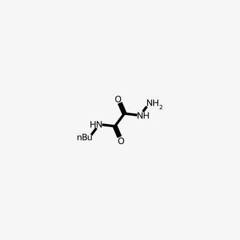 CCCCNC(=O)C(=O)NN